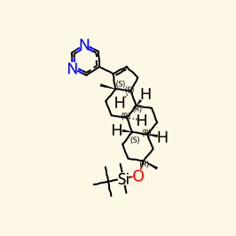 CC(C)(C)[Si](C)(C)O[C@]1(C)CC[C@H]2[C@H](CC[C@@H]3[C@@H]2CC[C@]2(C)C(c4cncnc4)=CC[C@@H]32)C1